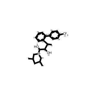 CC1CC(C)CN(C(O)C(O)C(C)c2ccccc2-c2ccc(C(F)(F)F)cc2)C1